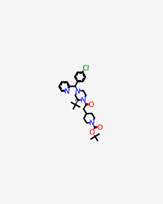 CC(C)(C)OC(=O)N1CCC(CC(=O)N2CCN(C(c3ccc(Cl)cc3)c3ccccn3)C[C@@H]2C(C)(C)C)CC1